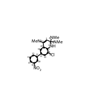 CNC1=CC(NC)(NC)Nc2c(Cl)cc(-c3cccc([N+](=O)[O-])c3)cc21